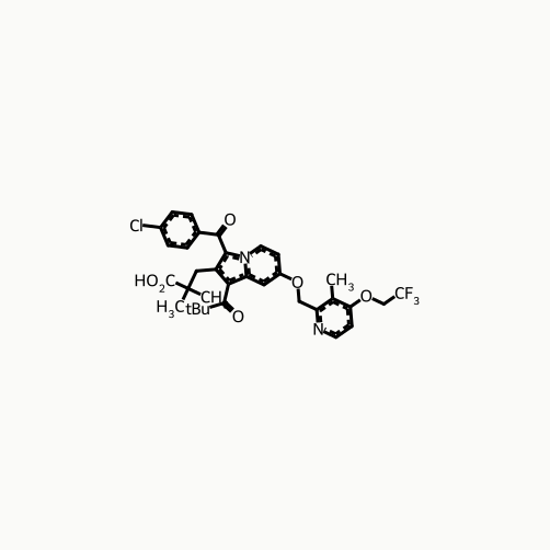 Cc1c(OCC(F)(F)F)ccnc1COc1ccn2c(C(=O)c3ccc(Cl)cc3)c(CC(C)(C)C(=O)O)c(C(=O)C(C)(C)C)c2c1